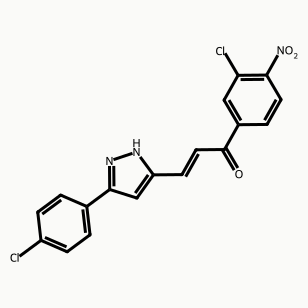 O=C(/C=C/c1cc(-c2ccc(Cl)cc2)n[nH]1)c1ccc([N+](=O)[O-])c(Cl)c1